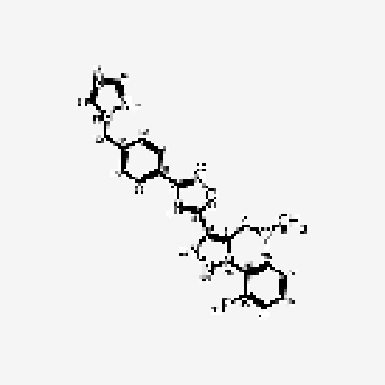 COCc1c(-c2nc(-c3ccc(Cn4cncn4)cc3)no2)nnn1-c1ccccc1F